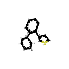 [c]1sccc1-c1ccccc1-c1ccccc1